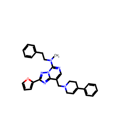 CN(CCc1ccccc1)c1ncc(CN2CC=C(c3ccccc3)CC2)c2nc(-c3ccco3)nn12